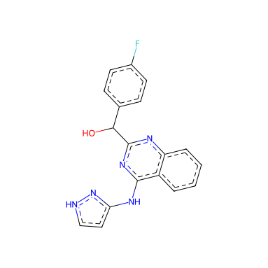 OC(c1ccc(F)cc1)c1nc(Nc2cc[nH]n2)c2ccccc2n1